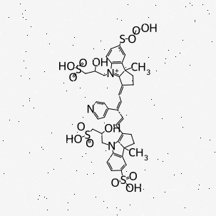 CC12CCC(/C=C/C(=C/C=C3\CCC4(C)C3=[N+](CC(O)CS(=O)(=O)O)c3ccc(SOOO)cc34)c3ccncc3)=C1N(CC(O)CS(=O)(=O)O)c1ccc(S(=O)(=O)O)cc12